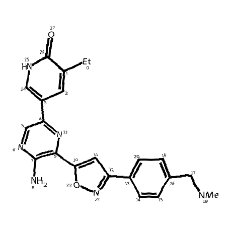 CCc1cc(-c2cnc(N)c(-c3cc(-c4ccc(CNC)cc4)no3)n2)c[nH]c1=O